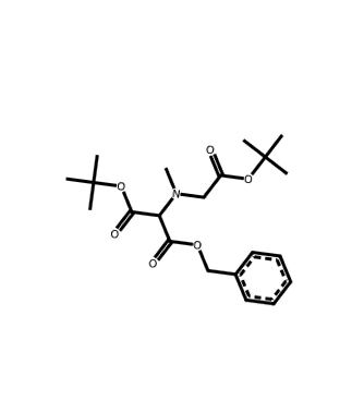 CN(CC(=O)OC(C)(C)C)C(C(=O)OCc1ccccc1)C(=O)OC(C)(C)C